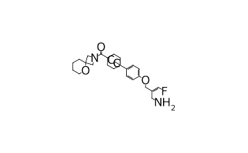 NCC(=CF)COc1ccc(C23CCC(C(=O)N4CC5(CCCCO5)C4)(CC2)CC3)cc1